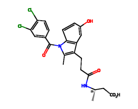 Cc1c(CCC(=O)N[C@@H](C)CC(=O)O)c2cc(O)ccc2n1C(=O)c1ccc(Cl)c(Cl)c1